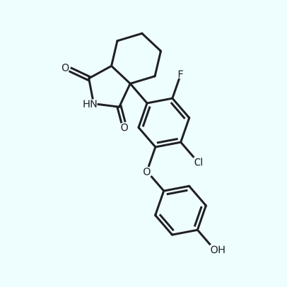 O=C1NC(=O)C2(c3cc(Oc4ccc(O)cc4)c(Cl)cc3F)CCCCC12